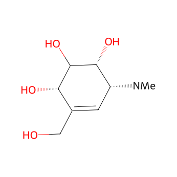 CN[C@@H]1C=C(CO)[C@H](O)C(O)[C@@H]1O